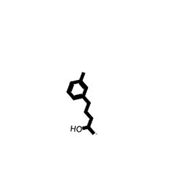 [CH2]C(O)CCCc1cccc(C)c1